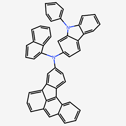 c1ccc(-n2c3ccccc3c3ccc(N(c4ccc5c(c4)-c4cccc6cc7ccccc7c-5c46)c4cccc5ccccc45)cc32)cc1